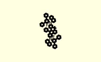 CC1(C)c2cc(N(c3cc(-c4ccccc4)cc(-c4ccccc4)c3F)c3cccc4ccccc34)ccc2-c2c(-c3ccccc3)c3ccc(N(c4cc(-c5ccccc5)cc(-c5ccccc5)c4F)c4cccc5ccccc45)cc3c3cccc1c23